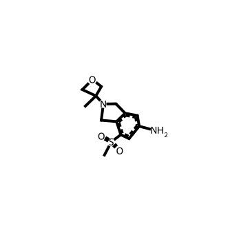 CC1(N2Cc3cc(N)cc(S(C)(=O)=O)c3C2)COC1